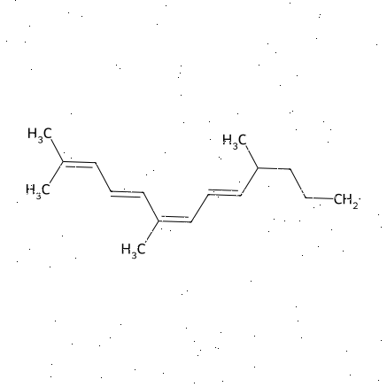 [CH2]CCC(C)C=CC=C(C)C=CC=C(C)C